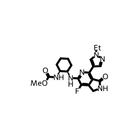 CCn1cc(-c2nc(N[C@@H]3CCCC[C@@H]3NC(=O)OC)c(F)c3c2C(=O)NC3)cn1